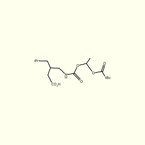 CC(C)CC(CNC(=O)OC(C)OC(=O)C(C)(C)C)CC(=O)O